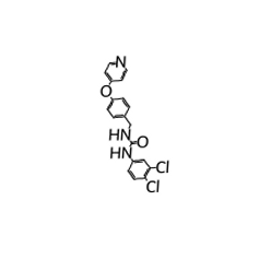 O=C(NCc1ccc(Oc2ccncc2)cc1)Nc1ccc(Cl)c(Cl)c1